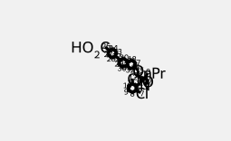 CCCc1onc(-c2c(Cl)cccc2Cl)c1COc1ccc2cc(-c3ccc(C(=O)O)cc3)ccc2c1